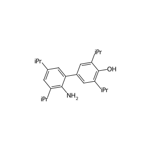 CC(C)c1cc(-c2cc(C(C)C)c(O)c(C(C)C)c2)c(N)c(C(C)C)c1